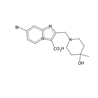 CC1(O)CCN(Cc2nc3cc(Br)ccn3c2C(=O)O)CC1